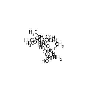 [CH2][CH]CSC[C@H](NC(=O)OC(C)(C)C)C(=O)N[C@@H](COC(C)(C)C)C(=O)Nc1ccc(Cn2c(O)nc3c(N)nc(NCCCC)nc32)cc1